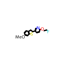 COc1ccc2c(c1)SC(c1ccc(OCCF)nc1)C2